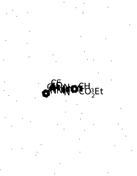 CCOC(=O)N(C)C1CCN(c2ncc(NC(=O)c3nc(-c4ccccc4)oc3C(F)(F)F)cn2)CC1